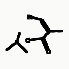 CCC=C(C)C(=O)Cl.CN(C)C